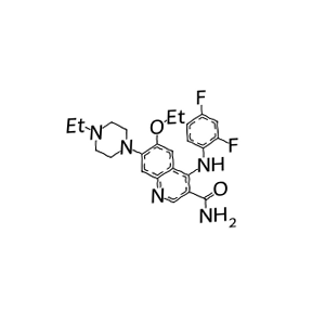 CCOc1cc2c(Nc3ccc(F)cc3F)c(C(N)=O)cnc2cc1N1CCN(CC)CC1